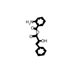 Nc1ccccc1C(=O)OC(=O)C(O)=Cc1ccccc1